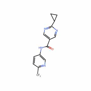 O=C(Nc1ccc(C(F)(F)F)nc1)c1cnc(C2CC2)nc1